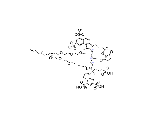 COCCOCCOCCOCCOCCOCC[N+]1=C(/C=C/C(C)=C/C=C2/N(CCCC(=O)ON3C(=O)CCC3=O)c3ccc4c(S(=O)(=O)[O-])cc(S(=O)(=O)O)cc4c3C2(C)CCOCCOCCOCCOC)C(C)(CCCS(=O)(=O)O)c2c1ccc1c(S(=O)(=O)O)cc(S(=O)(=O)O)cc21